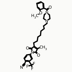 COc1ccccc1C(=O)N1CCN(CCCCCCCCC2=C(C)C(=O)N(c3ccc(C#N)c(C(F)(F)F)c3)C2=O)CC1